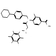 CN(CC(=O)N(Cc1ccc(C2CCCCC2)cc1)c1ccc(C(=O)NO)cc1Cl)Sc1c(F)c(F)c(F)c(F)c1F